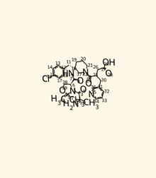 CC(N)C(=O)N1[C@H](C(=O)N[C@@]2(Cc3ccc(Cl)cc3)CCCN(C(=O)C(CC(=O)O)Cc3cccnc3)C2)COC1(C)C